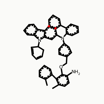 Cc1ccccc1-c1c(C)ccc(N)c1OCc1ccc(N(c2ccc3c4ccccc4n(C4C=CC=CC4)c3c2)c2ccccc2-c2ccccc2)cc1